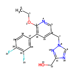 CCOc1ncc(Cn2cnc(CO)n2)cc1-c1ccc(F)c(F)c1